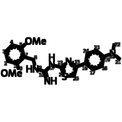 COc1cccc(OC)c1CNC(=N)Nc1nc(-c2ccc(N(C)C)cc2)cs1